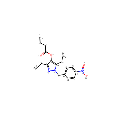 CCCC(=O)Oc1c(CC)nn(Cc2ccc([N+](=O)[O-])cc2)c1CC